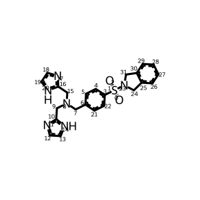 O=S(=O)(c1ccc(CN(Cc2ncc[nH]2)Cc2ncc[nH]2)cc1)N1Cc2ccccc2C1